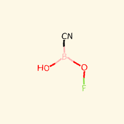 N#CB(O)OF